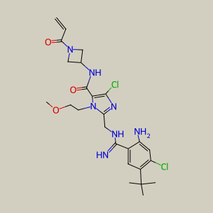 C=CC(=O)N1CC(NC(=O)c2c(Cl)nc(CNC(=N)c3cc(C(C)(C)C)c(Cl)cc3N)n2CCOC)C1